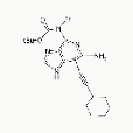 CCN(C(=O)OC(C)(C)C)c1nc(N)c(C#CC2CCCCC2)c2[nH]cnc12